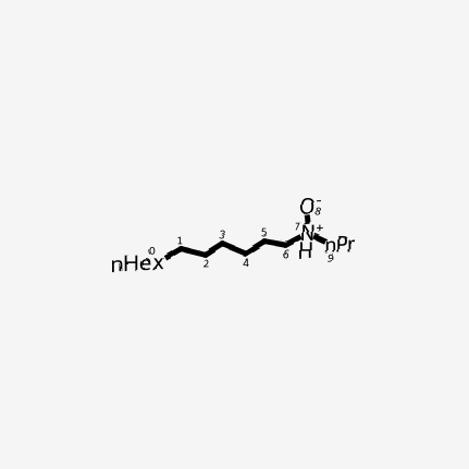 CCCCCCCCCCCC[NH+]([O-])CCC